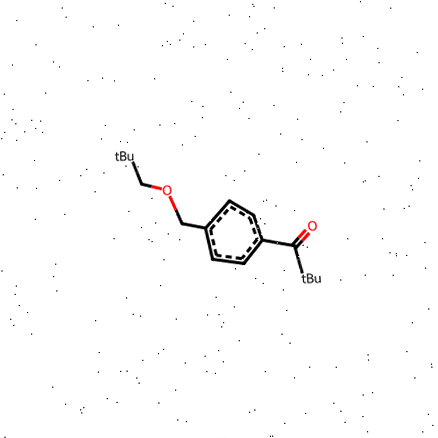 CC(C)(C)COCc1ccc(C(=O)C(C)(C)C)cc1